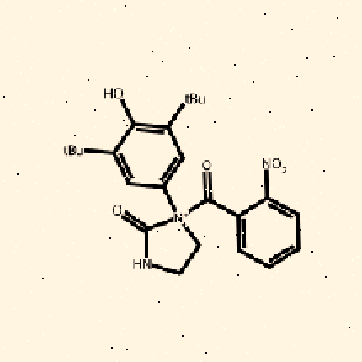 CC(C)(C)c1cc([N+]2(C(=O)c3ccccc3[N+](=O)[O-])CCNC2=O)cc(C(C)(C)C)c1O